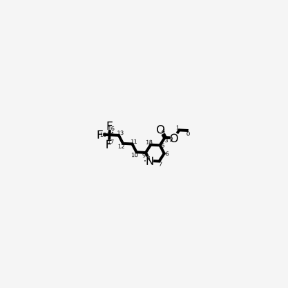 CCOC(=O)C1CC[N]C(CCCCC(F)(F)F)C1